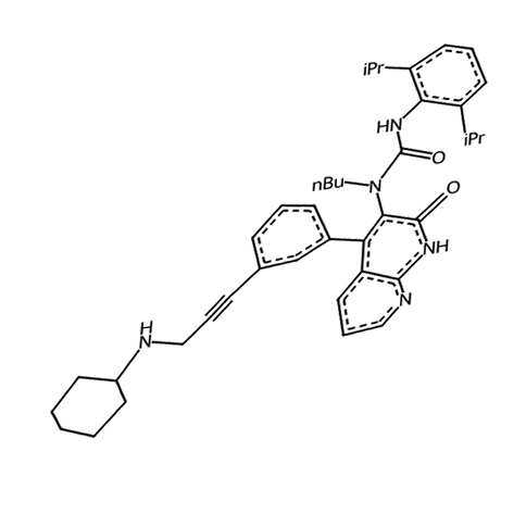 CCCCN(C(=O)Nc1c(C(C)C)cccc1C(C)C)c1c(-c2cccc(C#CCNC3CCCCC3)c2)c2cccnc2[nH]c1=O